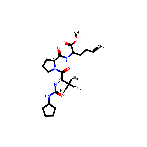 C=CCCC(NC(=O)[C@@H]1CCCN1C(=O)[C@@H](NC(=O)NC1CCCC1)C(C)(C)C)C(=O)OC